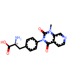 Cn1c(=O)n(-c2ccc(C[C@H](N)C(=O)O)cc2)c(=O)c2ccncc21